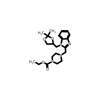 CCOC(=O)N1CCN(Cc2nc3ccccc3n2CC2COC(C)(C)O2)CC1